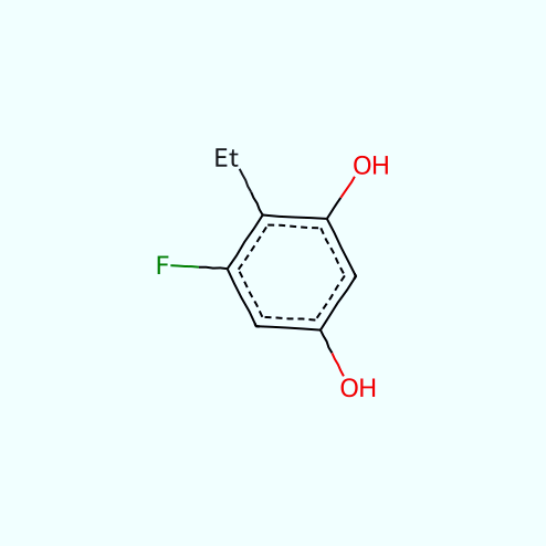 CCc1c(O)cc(O)cc1F